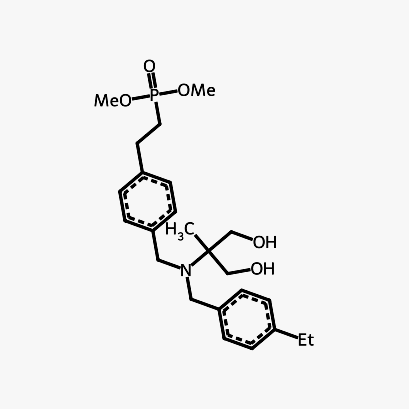 CCc1ccc(CN(Cc2ccc(CCP(=O)(OC)OC)cc2)C(C)(CO)CO)cc1